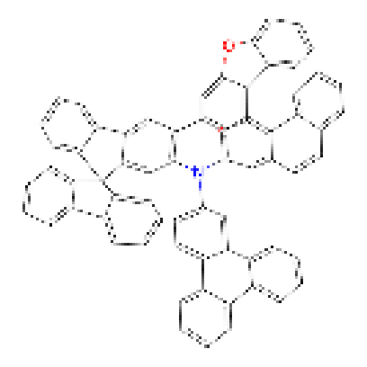 c1ccc2c(c1)-c1ccccc1C21c2ccccc2-c2cc(-c3ccc4c(c3)oc3ccccc34)c(N(c3ccc4c(ccc5ccccc54)c3)c3ccc4c5ccccc5c5ccccc5c4c3)cc21